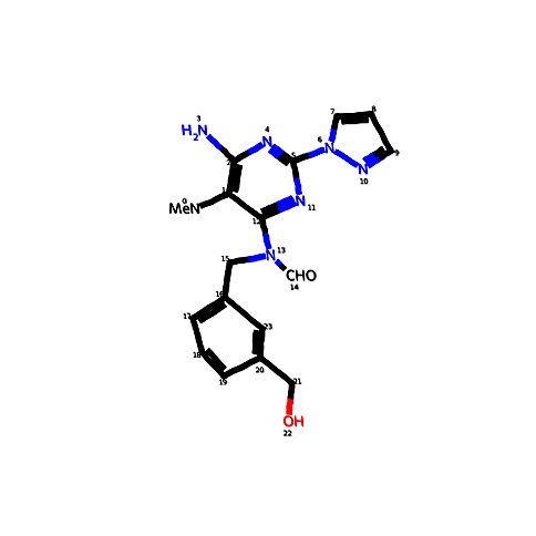 CNc1c(N)nc(-n2cccn2)nc1N(C=O)Cc1cccc(CO)c1